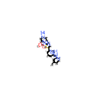 COC(=O)[N+]1(c2ncc(-c3cccc(Nc4cc(C)ccn4)n3)s2)CCNCC1